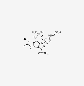 CC(C)(C)OC(=O)Nc1ccc2c(c1)c(C(N)=O)nn2C(C)(CO[Si](C)(C)C(C)(C)C)CC(=O)NCC(=O)O